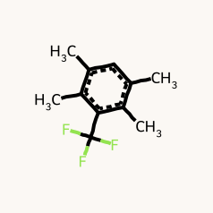 Cc1cc(C)c(C)c(C(F)(F)F)c1C